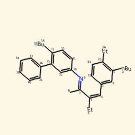 CCCCc1cc(C=C(CC)C(C)=Nc2ccc(CCCC)c(-c3ccccc3)c2)ccc1CC